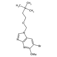 COc1nc2ncn(COCC[Si](C)(C)C)c2cc1Br